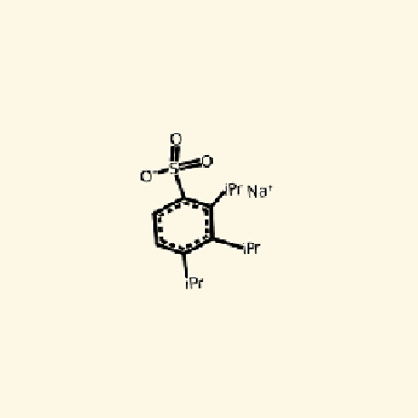 CC(C)c1ccc(S(=O)(=O)[O-])c(C(C)C)c1C(C)C.[Na+]